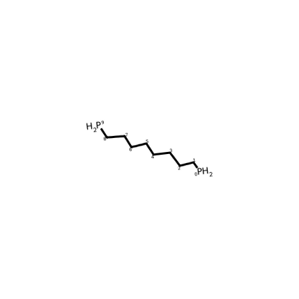 PCCCCCCCCP